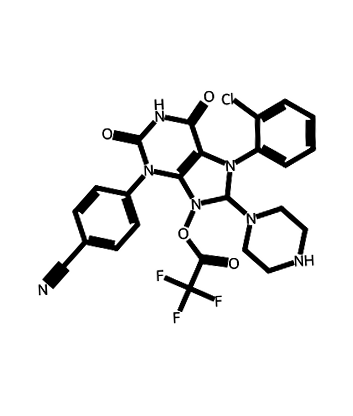 N#Cc1ccc(-n2c3c(c(=O)[nH]c2=O)N(c2ccccc2Cl)C(N2CCNCC2)N3OC(=O)C(F)(F)F)cc1